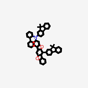 CC1(C)c2ccccc2-c2ccc(-c3c4oc5cc(N(c6ccc7c(c6)C(C)(C)c6ccccc6-7)c6ccccc6-c6ccccc6)ccc5c4cc4oc5ccccc5c34)cc21